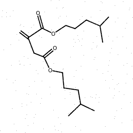 C=C(CC(=O)OCCCC(C)C)C(=O)OCCCC(C)C